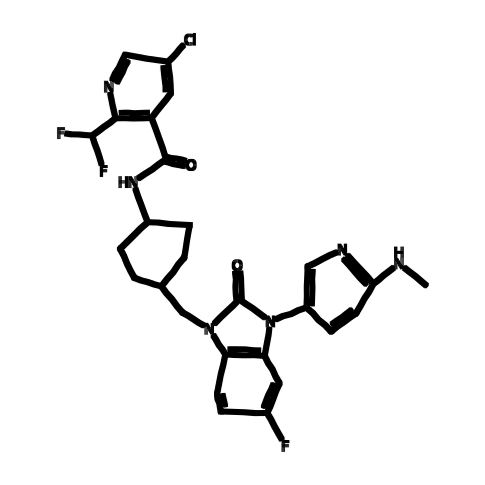 CNc1ccc(-n2c(=O)n(CC3CCC(NC(=O)c4cc(Cl)cnc4C(F)F)CC3)c3ccc(F)cc32)cn1